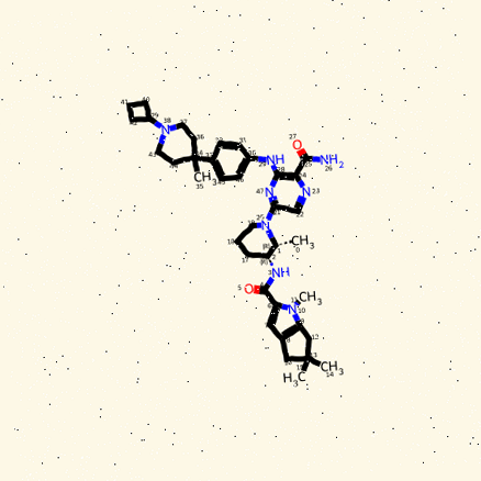 C[C@@H]1[C@H](NC(=O)c2cc3c(n2C)CC(C)(C)C3)CCCN1c1cnc(C(N)=O)c(Nc2ccc(C3(C)CCN(C4CCC4)CC3)cc2)n1